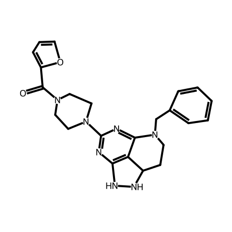 O=C(c1ccco1)N1CCN(c2nc3c4c(n2)N(Cc2ccccc2)CCC4NN3)CC1